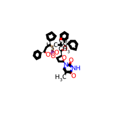 Cc1cn([C@H]2C[C@H](O[P@@]3(=O)O[C@H](c4ccccc4)C[C@H](c4ccccc4)S3)[C@@H](CO[Si](c3ccccc3)(c3ccccc3)C(C)(C)C)O2)c(=O)[nH]c1=O